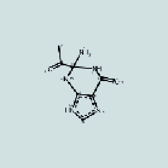 CC(=O)C1(N)NC(=O)c2nc[nH]c2N1